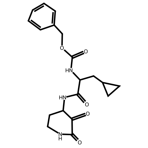 O=C(NC(CC1CC1)C(=O)NC1CCNC(=O)C1=O)OCc1ccccc1